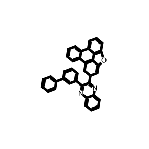 C1=c2oc3cccc4c5ccccc5c(c2c34)CC1c1nc2ccccc2nc1-c1cccc(-c2ccccc2)c1